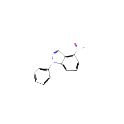 O=[N+]([O-])c1cccc2c1cnn2-c1ccccc1